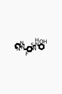 OC1CCCCC1Nc1nc2cc(F)c(Cn3cnc4cccnc43)cc2s1